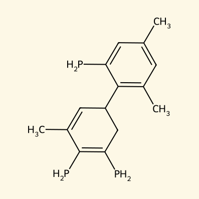 CC1=CC(c2c(C)cc(C)cc2P)CC(P)=C1P